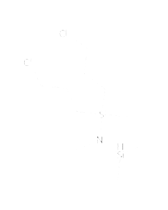 CN([SiH](C)C)[Si](C)(CCCCl)CCCCl